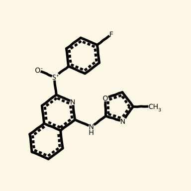 Cc1coc(Nc2nc([S+]([O-])c3ccc(F)cc3)cc3ccccc23)n1